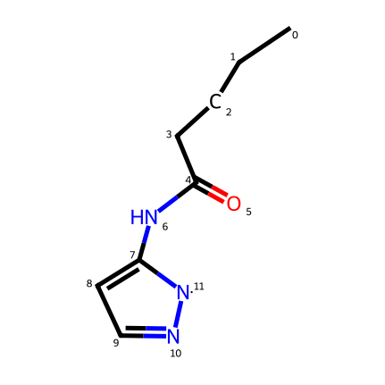 CCCCC(=O)NC1=CC=N[N]1